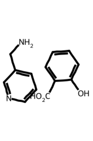 NCc1cccnc1.O=C(O)c1ccccc1O